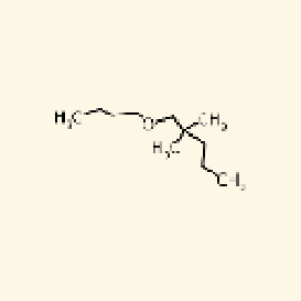 CCCCOCC(C)(C)CCC